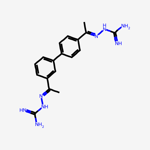 C/C(=N\NC(=N)N)c1ccc(-c2cccc(/C(C)=N/NC(=N)N)c2)cc1